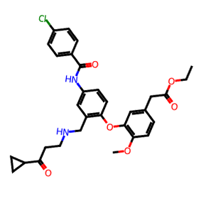 CCOC(=O)Cc1ccc(OC)c(Oc2ccc(NC(=O)c3ccc(Cl)cc3)cc2CNCCC(=O)C2CC2)c1